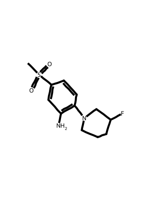 CS(=O)(=O)c1ccc(N2CCCC(F)C2)c(N)c1